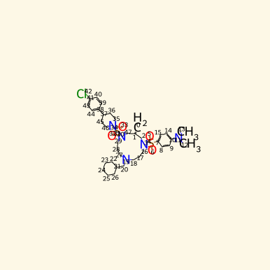 C=C1CN(S(=O)(=O)c2ccc(N(C)C)cc2)CCCN(CC2CCCCC2)CCCN(S(=O)(=O)N2CCC(c3ccc(Cl)cc3)CC2)C1